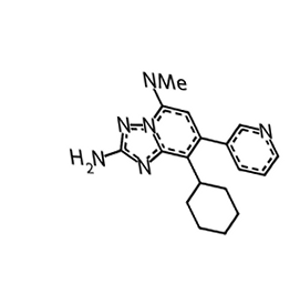 CNc1cc(-c2cccnc2)c(C2CCCCC2)c2nc(N)nn12